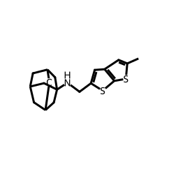 Cc1cc2cc(CNC34CC5CC(CC(C5)C3)C4)sc2s1